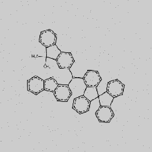 CC1(C)c2ccccc2-c2ccc(N(c3cccc4c3-c3ccccc3C43c4ccccc4-c4ccccc43)c3cccc4c3sc3ccccc34)cc21